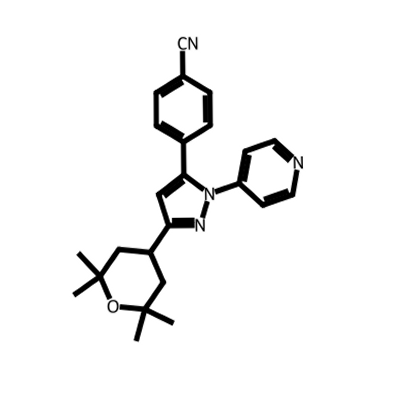 CC1(C)CC(c2cc(-c3ccc(C#N)cc3)n(-c3ccncc3)n2)CC(C)(C)O1